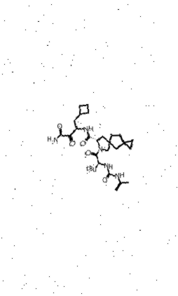 C=C(C)NC(=O)N[C@H](C(=O)N1CC2(CCC3(CC3)C2)C[C@H]1C(=O)NC(CC1CCC1)C(=O)C(N)=O)C(C)(C)C